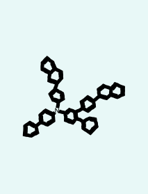 c1ccc(-c2ccc(N(c3ccc(-c4ccc5ccccc5c4)cc3)c3ccc(-c4ccccc4)c(-c4ccc(-c5ccc6ccccc6c5)cc4)c3)cc2)cc1